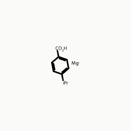 CC(C)c1ccc(C(=O)O)cc1.[Mg]